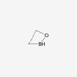 B1CCO1